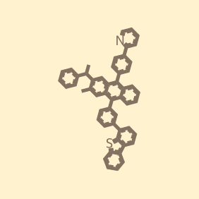 Cc1cc2c(-c3cccc(-c4cccc5c4sc4ccccc45)c3)c3ccccc3c(-c3ccc(-c4ccccn4)cc3)c2cc1C(C)c1ccccc1